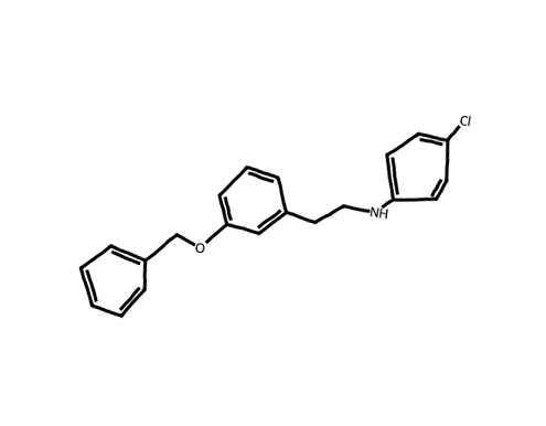 Clc1ccc(NCCc2cccc(OCc3ccccc3)c2)cc1